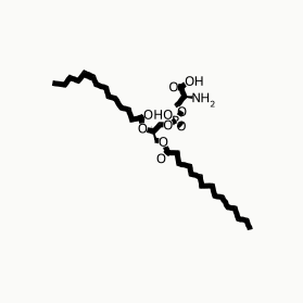 CCCC/C=C\CCCCCCCC(=O)O[C@H](COC(=O)CCCCCCCCCCCCCC)COP(=O)(O)OC[C@H](N)C(=O)O